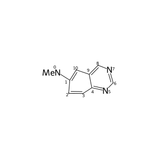 CNc1ccc2ncncc2c1